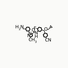 Cc1cc(C(=O)Nc2cc(C(OCC3CC3)c3ccc(C#N)cc3)ccc2F)n(-c2cccc(CN)c2)n1